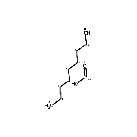 CCCCCCCCC.O=PO